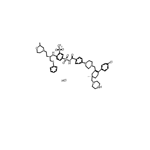 CC1CN(CC[C@H](CSc2ccccc2)Nc2ccc(S(=O)(=O)NC(=O)c3ccc(N4CCN(CC5=C(c6ccc(Cl)cc6)CC[C@@](C)(CN6CCNCC6)C5)CC4)cc3)cc2S(=O)(=O)C(F)(F)F)CCO1.Cl